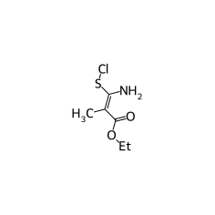 CCOC(=O)/C(C)=C(\N)SCl